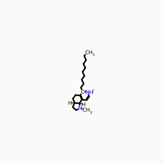 CCCCCCCCCC[c+]1[nH]ccc2c1CC[C@H]1CCN(C)[C@@H]21.[I-]